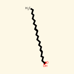 CCCCCCCCC=CCCCCCCC=CCCCC(=O)O